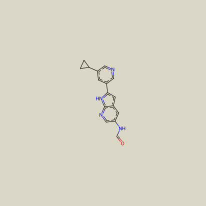 O=CNc1cnc2[nH]c(-c3cncc(C4CC4)c3)cc2c1